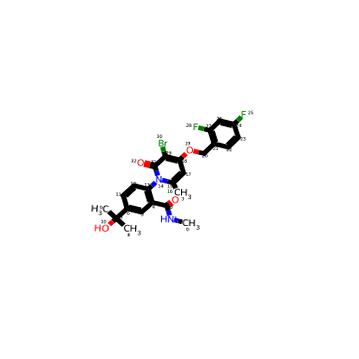 CNC(=O)c1cc(C(C)(C)O)ccc1-n1c(C)cc(OCc2ccc(F)cc2F)c(Br)c1=O